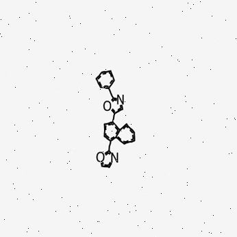 c1ccc(-c2ncc(-c3ccc(-c4ncco4)c4ccccc34)o2)cc1